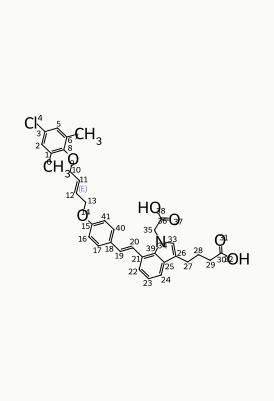 Cc1cc(Cl)cc(C)c1OC/C=C/COc1ccc(C=Cc2cccc3c(CCCC(=O)O)cn(CC(=O)O)c23)cc1